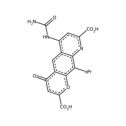 CCCc1c2nc(C(=O)O)cc(NC(N)=O)c2cc2c(=O)cc(C(=O)O)oc12